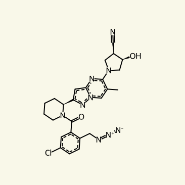 Cc1cn2nc([C@@H]3CCCCN3C(=O)c3cc(Cl)ccc3CN=[N+]=[N-])cc2nc1N1C[C@@H](C#N)[C@@H](O)C1